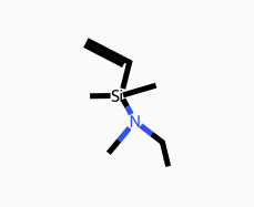 C=C[Si](C)(C)N(C)CC